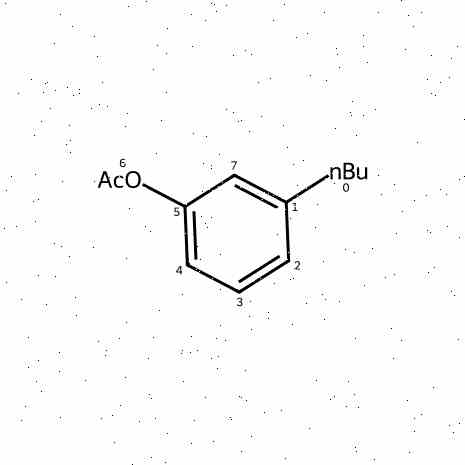 CCCCc1cccc(OC(C)=O)c1